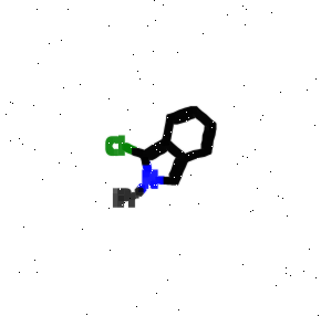 CC(C)n1cc2ccccc2c1Cl